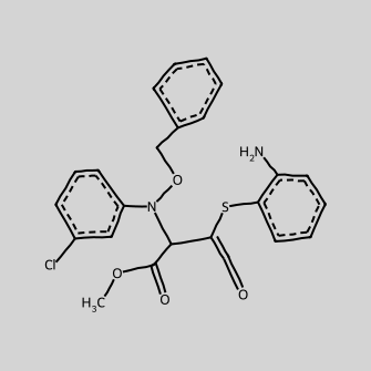 COC(=O)C(C(=C=O)Sc1ccccc1N)N(OCc1ccccc1)c1cccc(Cl)c1